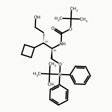 CC(C)(C)OC(=O)N[C@@H](CO[Si](c1ccccc1)(c1ccccc1)C(C)(C)C)[C@@H](CCO)C1CCC1